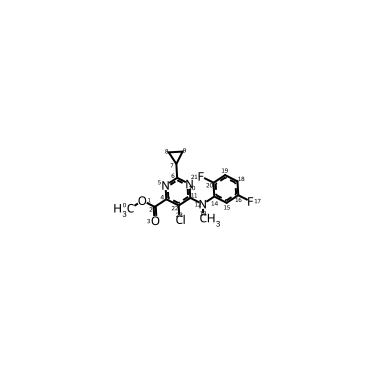 COC(=O)c1nc(C2CC2)nc(N(C)c2cc(F)ccc2F)c1Cl